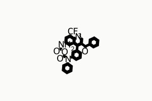 NC(=O)OC(=O)N(c1ccccc1)c1cccc(-c2c(C(=O)c3ccccc3)cnc3c(C(F)(F)F)cccc23)c1